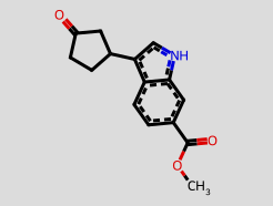 COC(=O)c1ccc2c(C3CCC(=O)C3)c[nH]c2c1